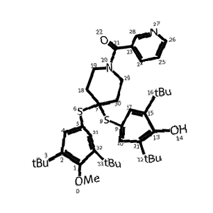 COc1c(C(C)(C)C)cc(SC2(Sc3cc(C(C)(C)C)c(O)c(C(C)(C)C)c3)CCN(C(=O)c3cccnc3)CC2)cc1C(C)(C)C